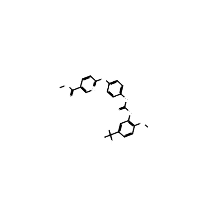 COC(=O)c1ccc(Oc2ccc(NC(=O)Nc3cc(C(F)(F)F)ccc3OC)cc2)nc1